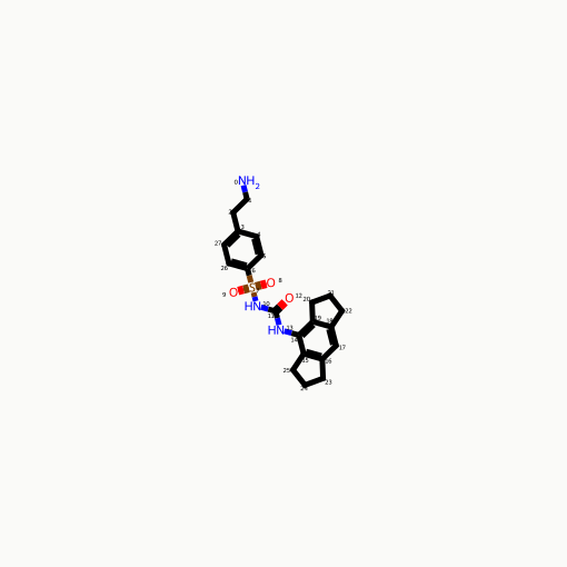 NCCc1ccc(S(=O)(=O)NC(=O)Nc2c3c(cc4c2CCC4)CCC3)cc1